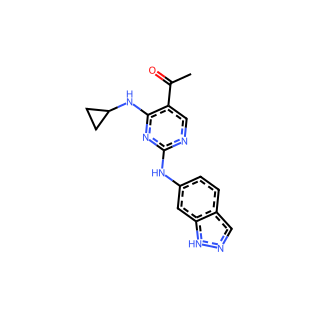 CC(=O)c1cnc(Nc2ccc3cn[nH]c3c2)nc1NC1CC1